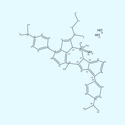 CCCC(C)C1=Cc2c(-c3ccc(C(C)C)cc3)cccc2[CH]1[Zr]([CH3])([CH3])(=[SiH2])[CH]1C(CC)=Cc2c(-c3ccc(C(C)C)cc3)cccc21.Cl.Cl